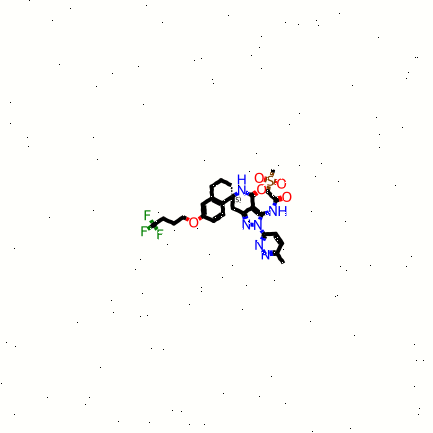 Cc1ccc(-n2nc3c(c2NC(=O)CS(C)(=O)=O)C(=O)N[C@@]2(CCCc4cc(OCCCC(F)(F)F)ccc42)C3)nn1